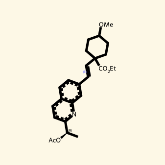 CCOC(=O)C1(/C=C/c2ccc3ccc([C@@H](C)OC(C)=O)nc3c2)CCC(OC)CC1